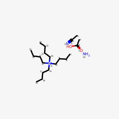 CC#N.CC(=O)O.CCCC[N+](CCCC)(CCCC)CCCC.N